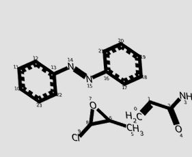 C=CC(N)=O.CC1OC1Cl.c1ccc(N=Nc2ccccc2)cc1